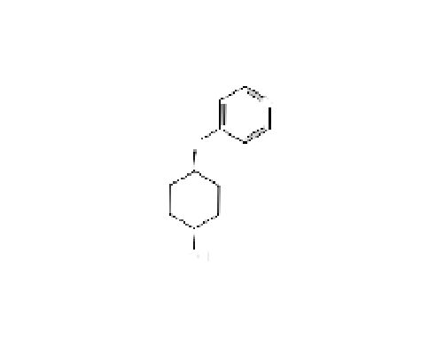 O[C@H]1CC[C@@H](Oc2ccncc2)CC1